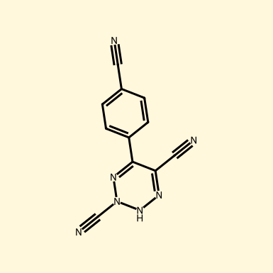 N#CC1=NNN(C#N)N=C1c1ccc(C#N)cc1